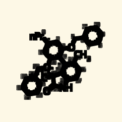 CCCc1cc(OCc2ccccc2)c(-c2c(C)ccc3c2C(C)(C)C(=O)N3)c(OCc2ccccc2)c1